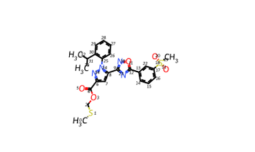 CSCOC(=O)c1cc(-c2noc(-c3cccc(S(C)(=O)=O)c3)n2)n(-c2ccccc2C(C)C)n1